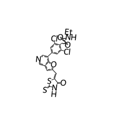 CCNS(=O)(=O)c1c(Cl)cc(-c2cncc3cc(/C=C4\SC(=S)NC4=O)oc23)cc1Cl